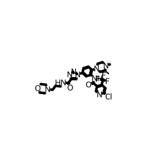 C[C@H]1CN(c2ccc(-n3cc(C(=O)NCCCN4CCOCC4)nn3)cc2NC(=O)c2cnc(Cl)cc2C(F)(F)F)CCN1C